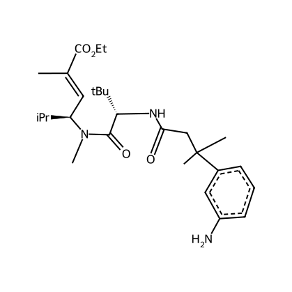 CCOC(=O)/C(C)=C/[C@H](C(C)C)N(C)C(=O)[C@@H](NC(=O)CC(C)(C)c1cccc(N)c1)C(C)(C)C